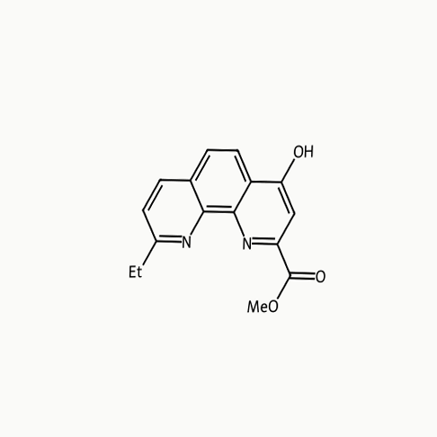 CCc1ccc2ccc3c(O)cc(C(=O)OC)nc3c2n1